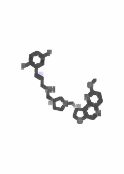 COc1ccc2ncc3c(c2n1)[C@@H](CN1CC[C@@H](CNC/C=C/c2cc(F)ccc2F)C1)CO3